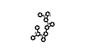 c1ccc(-c2cc(-n3c4ccccc4c4ccc(-c5ccc6c(c5)c5ccccc5n6-c5ccc6c(c5)c5ncccc5n6-c5ccccc5)cc43)cc(-c3ccccc3)n2)cc1